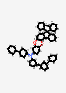 c1ccc(-c2ccc(N(c3cccc(-c4cccc(-c5ccccc5)c4)c3)c3ccc4c(c3)Oc3ccc5c(c3O4)-c3ccccc3C53c4ccccc4-c4ccccc43)cc2)cc1